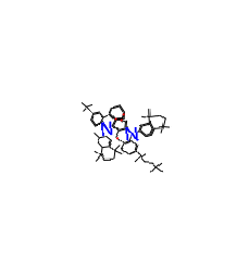 CC1=C(N(c2ccc3c(c2)C(C)(C)CCC3(C)C)c2cc(C)cc(N(C3=C(C)CC4C(=C3)C(C)(C)CCC4(C)C)c3ccc(C(C)(C)C)cc3-c3ccccc3)c2C)C=C(C(C)(C)CCC(C)(C)C)CC1